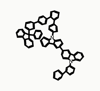 c1ccc(-c2cccc(-n3c4ccccc4c4cc(-c5ccc6c(c5)c5ccccc5n6-c5ccc(-c6ccccc6-c6ccc(-c7cccc(C8(c9ccccc9)c9ccccc9-c9ccccc98)c7)cc6)cc5)ccc43)c2)cc1